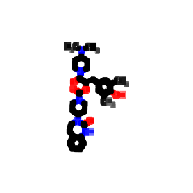 Cc1cc(C[C@@H](OC(=O)N2CCC(N3CCc4ccccc4NC3=O)CC2)C(=O)N2CCC(N(C)C)CC2)cc(C)c1O